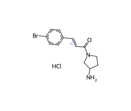 Cl.NC1CCN(C(=O)/C=C/c2ccc(Br)cc2)C1